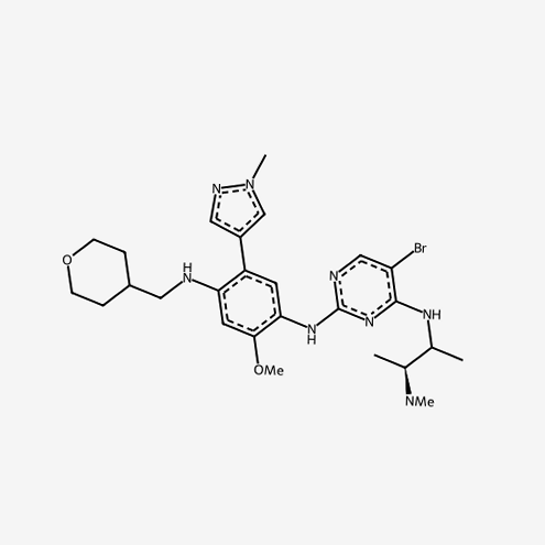 CN[C@@H](C)C(C)Nc1nc(Nc2cc(-c3cnn(C)c3)c(NCC3CCOCC3)cc2OC)ncc1Br